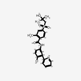 Cc1cc(S(=O)(=O)CC(C)(C)O)ccc1C(=O)Nc1ccc(Cl)c(-c2ccccn2)c1